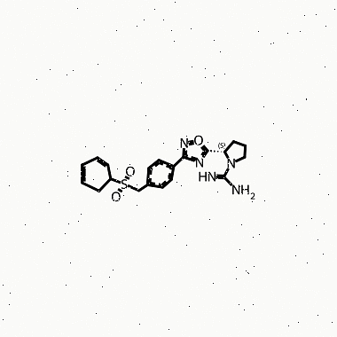 N=C(N)N1CCC[C@H]1c1nc(-c2ccc(CS(=O)(=O)C3C=CC=CC3)cc2)no1